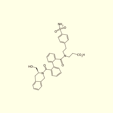 NS(=O)(=O)c1ccc(CCN(CCC(=O)O)C(=O)c2ccccc2-c2ccccc2C(=O)N2Cc3ccccc3C[C@H]2CO)cc1